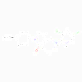 CO[C@H]1CC[C@H](N2CCC3(CCCN(c4ncc(F)cc4F)C3)C2=O)CC1